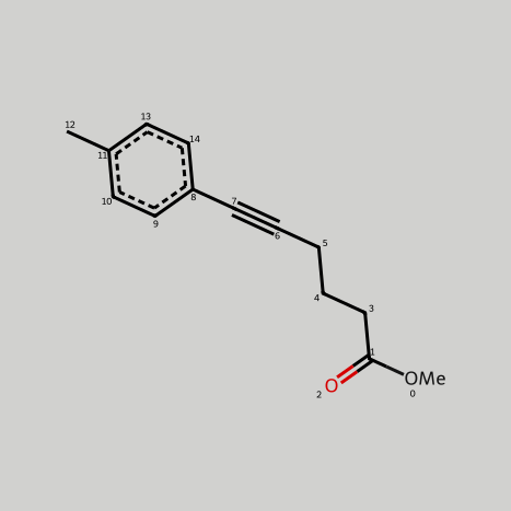 COC(=O)CCCC#Cc1ccc(C)cc1